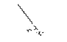 CCCCCCC=CCCCCCCCC(=O)OCCC(COC(=O)[C@@H](N)C(C)C)Cn1cnc2c(=O)[nH]c(N)nc21